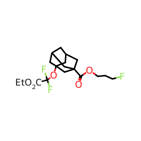 CCOC(=O)C(F)(F)OC12CC3CC(C1)CC(C(=O)OCCCF)(C3)C2